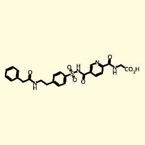 O=C(O)CNC(=O)c1ccc(C(=O)NS(=O)(=O)c2ccc(CCNC(=O)Cc3ccccc3)cc2)cn1